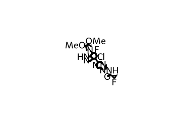 CO[C@H]1CN(c2c(F)c(Cl)c(-c3cn4cc(NC(=O)C5CC5F)nc4cn3)c3cn[nH]c23)C[C@@H]1OC